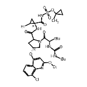 CCOc1cc(O[C@@H]2CC(C(=O)N[C@]3(C(=O)NS(=O)(=O)OC4(C)CC4)CC3CC)N(C(=O)C(NC(=O)NC(C)(C)C)C(C)(C)C)C2)c2cccc(Cl)c2n1